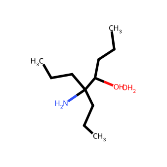 CCCC(O)C(N)(CCC)CCC.O